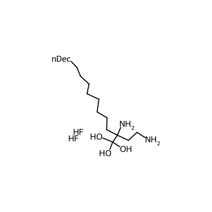 CCCCCCCCCCCCCCCCCCC(N)(CCN)C(O)(O)O.F.F